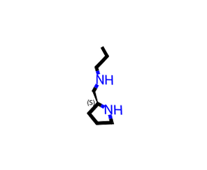 CCCNC[C@@H]1CCCN1